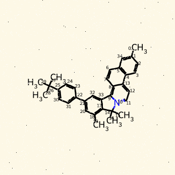 Cc1ccc2c(ccc3c4[n+](ccc32)C(C)(C)c2c(C)cc(-c3ccc(C(C)(C)C)cc3)cc2-4)c1